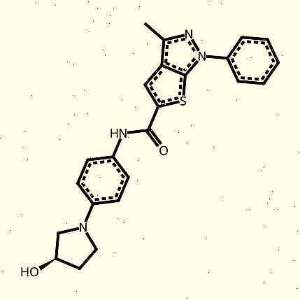 Cc1nn(-c2ccccc2)c2sc(C(=O)Nc3ccc(N4CC[C@@H](O)C4)cc3)cc12